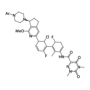 COc1nc(C2C=CC(F)=C(C3=C(C)C(NC(=O)c4nn(C)c(=O)n(C)c4=O)=CCC3F)C2Cl)cc2c1[C@@H](N1CCN(C(C)=O)CC1)CC2